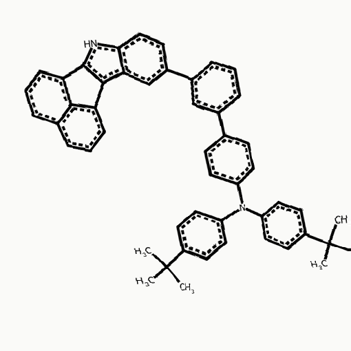 CC(C)(C)c1ccc(N(c2ccc(-c3cccc(-c4ccc5[nH]c6c(c5c4)-c4cccc5cccc-6c45)c3)cc2)c2ccc(C(C)(C)C)cc2)cc1